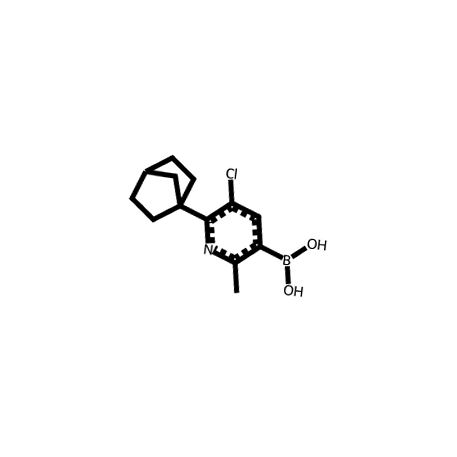 Cc1nc(C23CCC(CC2)C3)c(Cl)cc1B(O)O